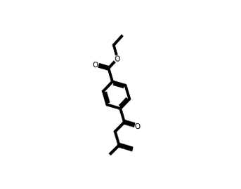 C=C(C)CC(=O)c1ccc(C(=O)OCC)cc1